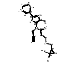 C#CCN(C(=O)CCSCC1CC1(F)F)c1sc(-c2cccnc2)nc1C